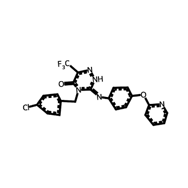 O=c1c(C(F)(F)F)n[nH]/c(=N\c2ccc(Oc3ccccn3)cc2)n1Cc1ccc(Cl)cc1